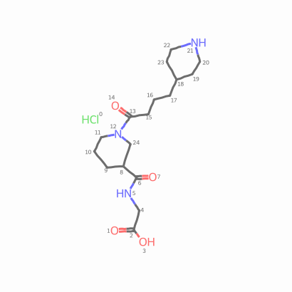 Cl.O=C(O)CNC(=O)C1CCCN(C(=O)CCCC2CCNCC2)C1